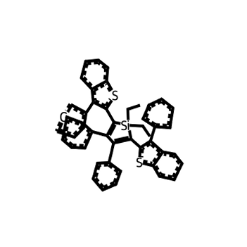 CC[Si]1(CC)C(c2sc3ccccc3c2-c2ccccc2)=C(c2ccccc2)C(c2ccccc2)=C1c1sc2ccccc2c1-c1ccccc1